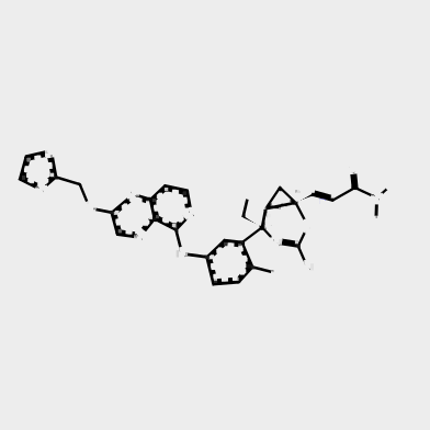 CN(C)C(=O)/C=C/[C@]12C[C@H]1[C@@](CF)(c1cc(Nc3nccc4nc(OCc5ncco5)cnc34)ccc1F)N=C(N)S2